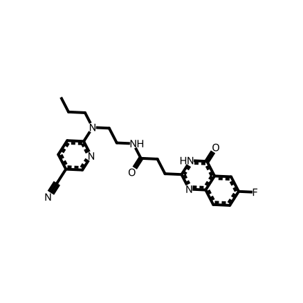 CCCN(CCNC(=O)CCc1nc2ccc(F)cc2c(=O)[nH]1)c1ccc(C#N)cn1